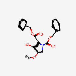 CC(C)O[C@@H]1CN(C(=O)OCc2ccccc2)[C@H](C(=O)OCc2ccccc2)[C@@H]1O